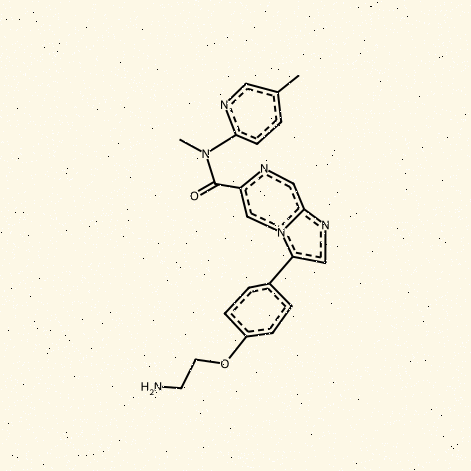 Cc1ccc(N(C)C(=O)c2cn3c(-c4ccc(OCCN)cc4)cnc3cn2)nc1